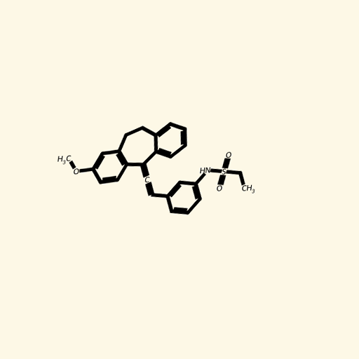 CCS(=O)(=O)Nc1cccc(C=C=C2c3ccccc3CCc3cc(OC)ccc32)c1